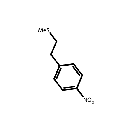 CSCCc1ccc([N+](=O)[O-])cc1